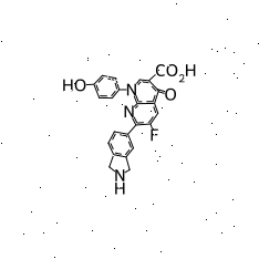 O=C(O)c1cn(-c2ccc(O)cc2)c2nc(-c3ccc4c(c3)CNC4)c(F)cc2c1=O